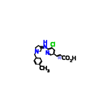 Cc1ccc(CN2CC[C@@H](Nc3ncc(/C=C/C(=O)O)cc3Cl)C2)cc1